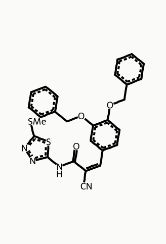 CSc1nnc(NC(=O)C(C#N)=Cc2ccc(OCc3ccccc3)c(OCc3ccccc3)c2)s1